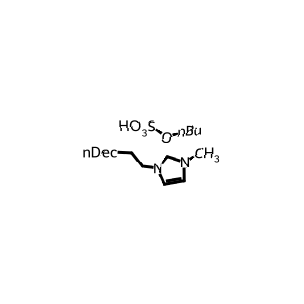 CCCCCCCCCCCCN1C=CN(C)C1.CCCCOS(=O)(=O)O